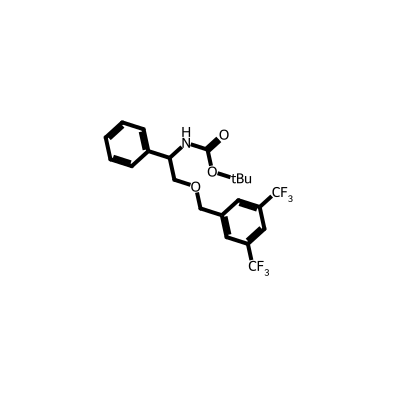 CC(C)(C)OC(=O)NC(COCc1cc(C(F)(F)F)cc(C(F)(F)F)c1)c1ccccc1